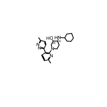 Cc1ccc(-c2ccc(C)nc2N2CC[C@H](NC3CCCCC3)[C@H](O)C2)nn1